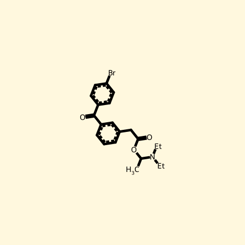 CCN(CC)C(C)OC(=O)Cc1cccc(C(=O)c2ccc(Br)cc2)c1